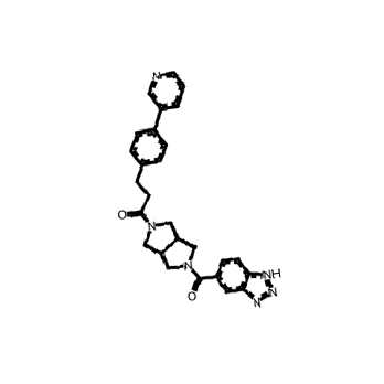 O=C(CCc1ccc(-c2cccnc2)cc1)N1CC2CN(C(=O)c3ccc4[nH]nnc4c3)CC2C1